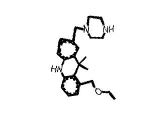 CCOCc1cccc2c1C(C)(C)c1cc(CN3CCNCC3)ccc1N2